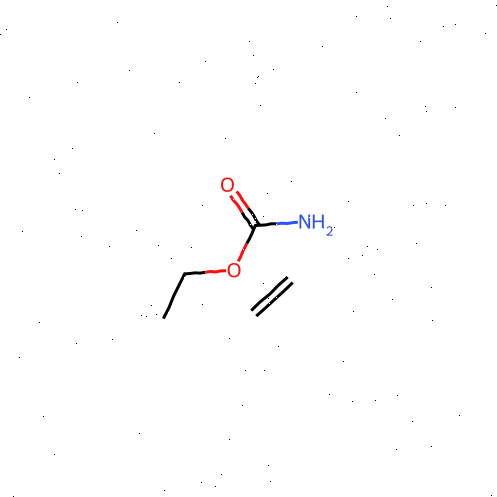 C=C.CCOC(N)=O